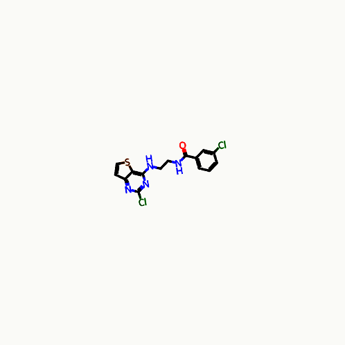 O=C(NCCNc1nc(Cl)nc2ccsc12)c1cccc(Cl)c1